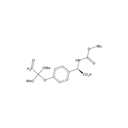 COC(OC)(Oc1ccc([C@@H](NC(=O)OC(C)(C)C)C(=O)O)cc1)[PH2]=O